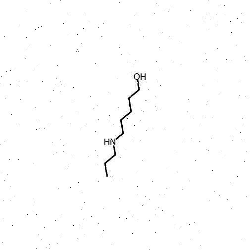 CCCNCCCCCO